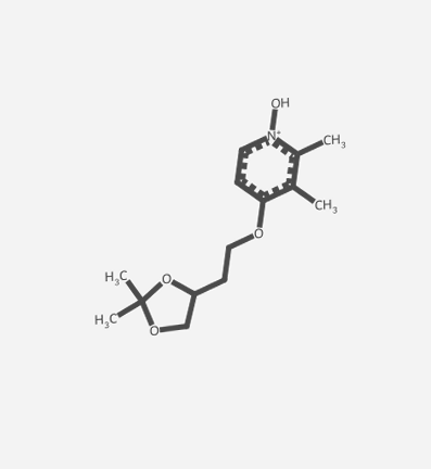 Cc1c(OCCC2COC(C)(C)O2)cc[n+](O)c1C